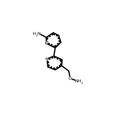 NOCc1ccnc(-c2cccc(N)n2)c1